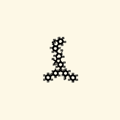 Cc1cc(N(c2ccc(-c3ccccc3)cc2)c2ccc3c(c2)C(C)(C)C2=C3C[C@@H](C)C(c3ccc4c(c3)-c3ccccc3CS4)=C2)ccc1-c1ccccc1